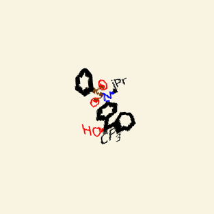 CC(C)CN(c1ccc(C(O)(C2=CCCCC2)C(F)(F)F)cc1)S(=O)(=O)c1ccccc1